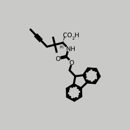 CC#CCC(C)(C)[C@@H](NC(=O)OCC1c2ccccc2-c2ccccc21)C(=O)O